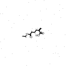 C=C(CCCC(=O)OCC)C(=O)O